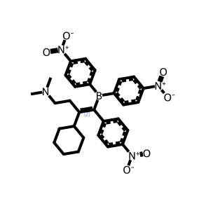 CN(C)CC/C(=C(\B(c1ccc([N+](=O)[O-])cc1)c1ccc([N+](=O)[O-])cc1)c1ccc([N+](=O)[O-])cc1)C1CCCCC1